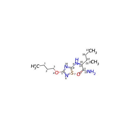 CCCCOc1nsc(N[C@H](C(N)=O)[C@@H](C)CC)n1